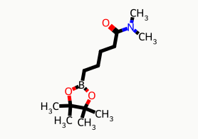 CN(C)C(=O)CCCCB1OC(C)(C)C(C)(C)O1